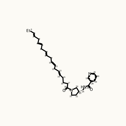 CCC=CCC=CCC=CCC=CCC=CCCCC(=O)N1CC[C@@H](CNC(=O)c2cccnc2)C1